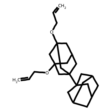 C=CCOC12CC3CC(OCC=C)(C1)CC(C14CC5CC(CC(C5)C1)C4)(C3)C2